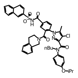 CCCCN(C(=O)c1nn(-c2ccc(C(=O)NS(=O)(=O)c3ccc4ccccc4c3)cc2C(=O)N2CCc3ccccc3C2)c(C)c1Cl)c1ccc(OC(C)C)cc1